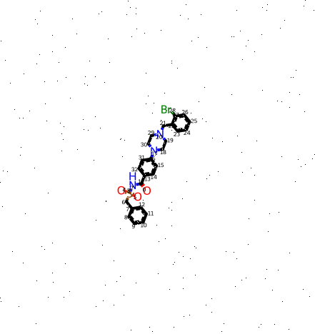 O=C(NS(=O)(=O)Cc1ccccc1)c1ccc(N2CCN(Cc3ccccc3Br)CC2)cc1